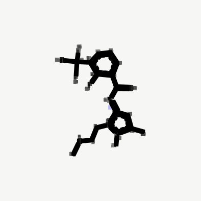 COCCn1/c(=N/C(=O)c2cccc(C(F)(F)F)c2F)cc(C)n1C